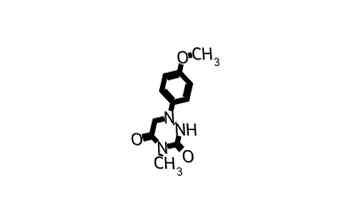 COc1ccc(N2CC(=O)N(C)C(=O)N2)cc1